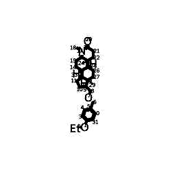 CCOc1ccc(COCC2CC[C@H]3[C@@H]4CCC5N(C)C(=O)CC[C@]5(C)[C@@H]4CC[C@]23C)cc1